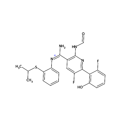 CC(C)Sc1ccccc1/N=C(/N)c1cc(F)c(-c2c(O)cccc2F)nc1NC=O